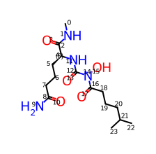 CNC(=O)[C@H](CCCC(N)=O)NC(=O)N(O)C(=O)CCCC(C)C